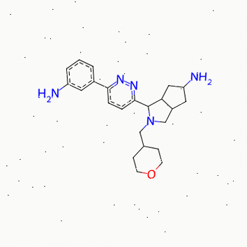 Nc1cccc(-c2ccc(C3C4CC(N)CC4CN3CC3CCOCC3)nn2)c1